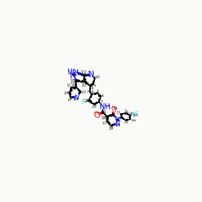 O=C(Nc1ccc(Cc2ccnc3[nH]nc(-c4cccnc4)c23)c(F)c1)c1ccnn(-c2ccc(F)cc2)c1=O